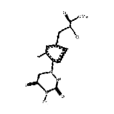 COC(=O)C(Cl)Cc1ccc(N2CC(=O)N(C)C(=O)N2)c(F)c1